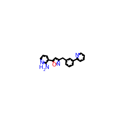 Nc1ncccc1-c1cc(Cc2cccc(-c3ccccn3)c2)no1